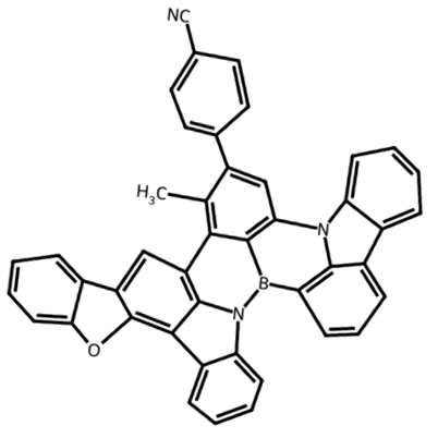 Cc1c(-c2ccc(C#N)cc2)cc2c3c1-c1cc4c5ccccc5oc4c4c5ccccc5n(c14)B3c1cccc3c4ccccc4n-2c13